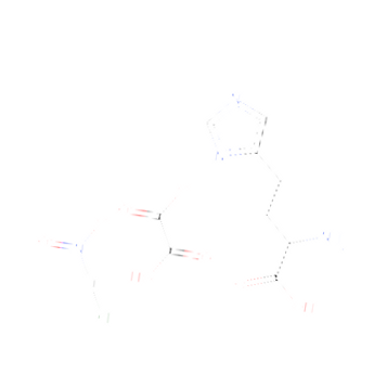 NC(CCc1c[nH]cn1)C(=O)O.O=C(O)C(=O)O.O=[N+]([O-])[Pt][Cl]